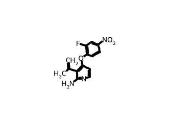 C=C(C)c1c(Oc2ccc([N+](=O)[O-])cc2F)ccnc1N